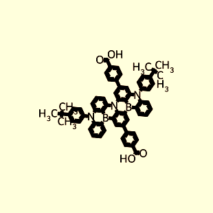 CC(C)(C)c1ccc(N2c3ccccc3B3c4cc(-c5ccc(C(=O)O)cc5)cc5c4N(c4cccc2c43)c2cc(-c3ccc(C(=O)O)cc3)cc3c2B5c2ccccc2N3c2ccc(C(C)(C)C)cc2)cc1